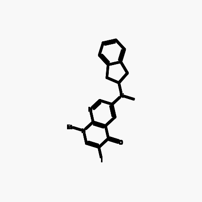 CCn1cc(I)c(=O)c2cc(N(C)C3Cc4ccccc4C3)cnc21